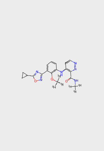 [2H]C([2H])([2H])NC(=O)c1nnccc1Nc1cccc(-c2noc(C3CC3)n2)c1OC([2H])([2H])[2H]